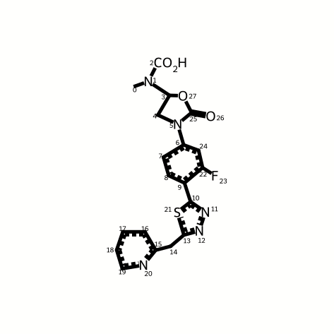 CN(C(=O)O)C1CN(c2ccc(-c3nnc(Cc4ccccn4)s3)c(F)c2)C(=O)O1